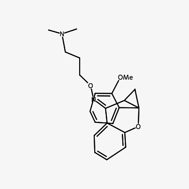 COc1ccccc1C12CC1C(=NOCCCN(C)C)c1ccccc1O2